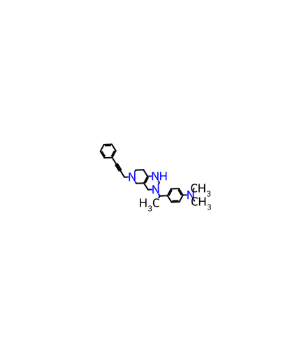 CC(c1ccc(N(C)C)cc1)N1CNC2=C(CN(CC#Cc3ccccc3)CC2)C1